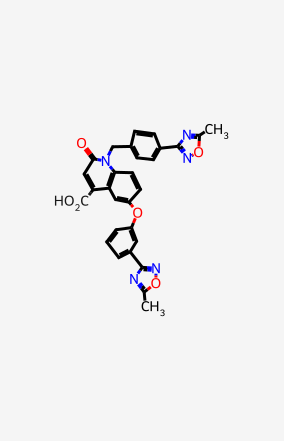 Cc1nc(-c2ccc(Cn3c(=O)cc(C(=O)O)c4cc(Oc5cccc(-c6noc(C)n6)c5)ccc43)cc2)no1